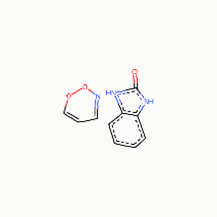 C1=COON=C1.O=c1[nH]c2ccccc2[nH]1